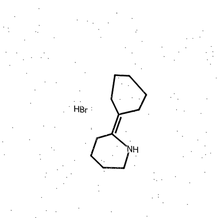 Br.C1CCC(=C2CCCCN2)CC1